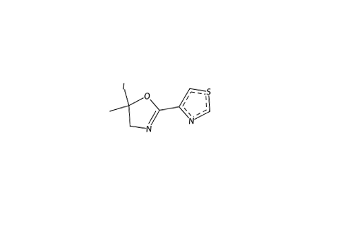 CC1(I)CN=C(c2cscn2)O1